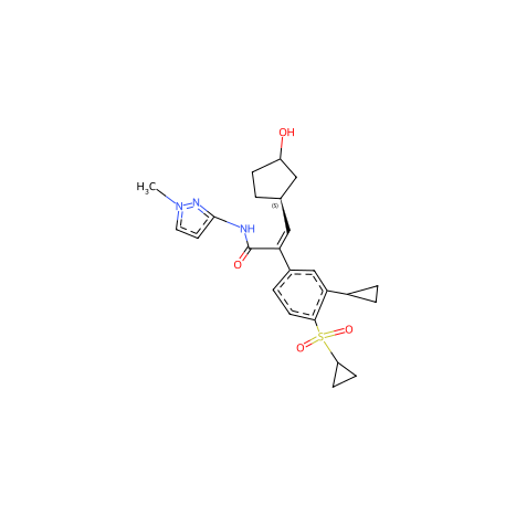 Cn1ccc(NC(=O)C(=C[C@H]2CCC(O)C2)c2ccc(S(=O)(=O)C3CC3)c(C3CC3)c2)n1